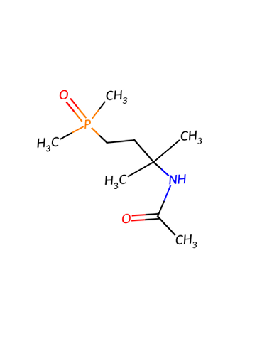 CC(=O)NC(C)(C)CCP(C)(C)=O